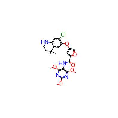 COc1nc(OC)c(NC(=O)c2cc(Oc3cc4c(cc3Cl)NCCC4(C)C)co2)c(OC)n1